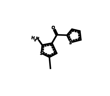 Cc1cc(C(=O)c2cccs2)c(N)s1